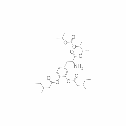 CCC(C)CC(=O)Oc1ccc(C[C@H](N)C(=O)O[C@@H](C)C(C)OC(=O)OC(C)C)cc1OC(=O)CC(C)CC